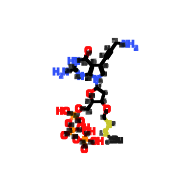 CC(C)(C)SSCOC1C[C@H](n2cc(C#CCN)c3c(=O)[nH]c(N)nc32)O[C@@H]1COP(=O)(O)OP(=O)(O)OP(=O)(O)O